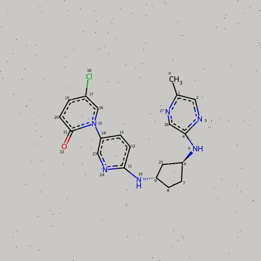 Cc1cnc(N[C@H]2CC[C@H](Nc3ccc(-n4cc(Cl)ccc4=O)cn3)C2)cn1